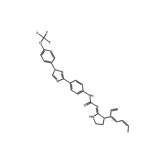 C=C/C(=C\C=C/C)N1CCN/C1=N\C(=O)Nc1ccc(-c2ncn(-c3ccc(OC(F)(F)F)cc3)n2)cc1